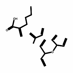 C=C(CCCC)C(=O)O.C=CC(=C)C.C=CC(C=C)OC(C=C)C=C